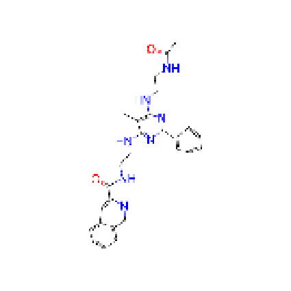 CC(=O)NCCNc1nc(-c2ccccc2)nc(NCCNC(=O)c2cc3ccccc3cn2)c1C